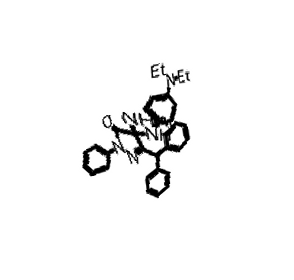 CCN(CC)c1ccc(NC2(NC(C)=O)C(=O)N(c3ccccc3)N=C2C(c2ccccc2)c2ccccc2)cc1